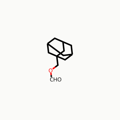 O=COCC12CC3CC(CC(C3)C1)C2